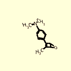 CC1=C(c2ccc(N(C)C)cc2)C2OC12